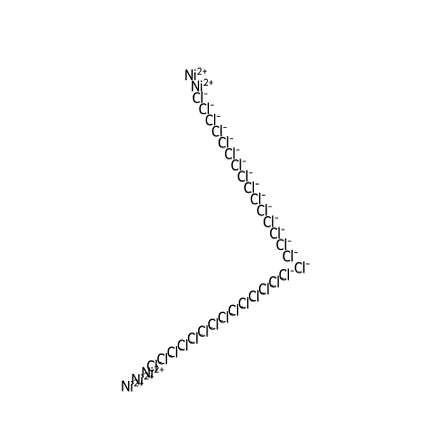 [Cl-].[Cl-].[Cl-].[Cl-].[Cl-].[Cl-].[Cl-].[Cl-].[Cl-].[Cl-].[Cl-].[Cl-].[Cl-].[Cl-].[Cl-].[Cl-].[Cl-].[Cl-].[Cl-].[Cl-].[Cl-].[Cl-].[Cl-].[Cl-].[Cl-].[Cl-].[Cl-].[Cl-].[Cl-].[Cl-].[Ni+2].[Ni+2].[Ni+2].[Ni+2].[Ni+2]